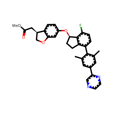 COC(=O)C[C@@H]1COc2cc(O[C@@H]3CCc4c(-c5c(C)cc(-c6cnccn6)cc5C)ccc(F)c43)ccc21